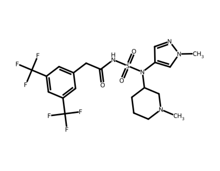 CN1CCCC(N(c2cnn(C)c2)S(=O)(=O)NC(=O)Cc2cc(C(F)(F)F)cc(C(F)(F)F)c2)C1